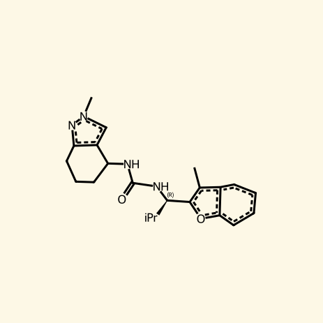 Cc1c([C@H](NC(=O)NC2CCCc3nn(C)cc32)C(C)C)oc2ccccc12